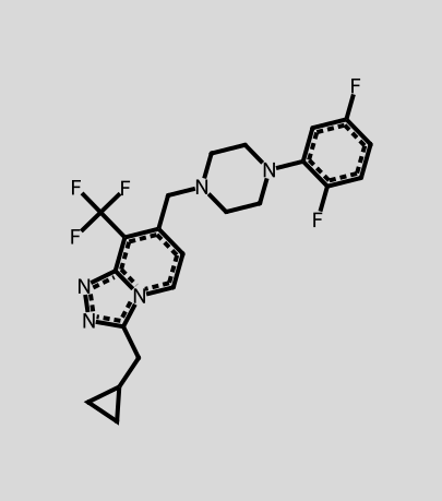 Fc1ccc(F)c(N2CCN(Cc3ccn4c(CC5CC5)nnc4c3C(F)(F)F)CC2)c1